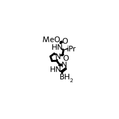 Bc1cnc(C2CCCN2C(=O)[C@@H](NC(=O)OC)C(C)C)[nH]1